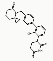 O=C1CCC(c2cccc(-c3ccc(CN4C(=O)CCCC45CC5)cc3)c2Cl)C(=O)N1